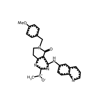 COc1ccc(CN2CCc3nc([S+](C)[O-])nc(Nc4ccc5ncccc5c4)c3C2=O)cc1